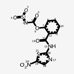 O=C(N=S(=O)=O)Oc1ccccc1C(=O)Nc1ncc([N+](=O)[O-])s1